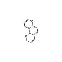 C1=COC2=CC=C3C=CCOC3C2=C1